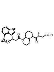 CC(CC(=O)N1CCCC2C(C(=O)NCC(=O)O)CCCC21)c1c[nH]c2cccc(C3CC3)c12